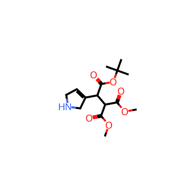 COC(=O)C(C(=O)OC)C(C(=O)OC(C)(C)C)C1=CCNC1